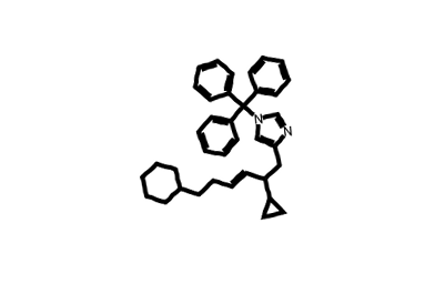 C(=C\C(Cc1cn(C(c2ccccc2)(c2ccccc2)c2ccccc2)cn1)C1CC1)/CCC1CCCCC1